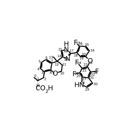 C[C@H](Cc1cccc2c1OCCC2(C)c1c[nH]c(-c2cc(Oc3c(F)c(F)c4[nH]ccc4c3F)ccc2F)n1)C(=O)O